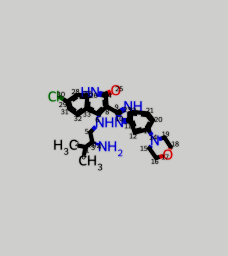 CC(C)[C@H](N)CNc1c(-c2nc3cc(N4CCOCC4)ccc3[nH]2)c(=O)[nH]c2cc(Cl)ccc12